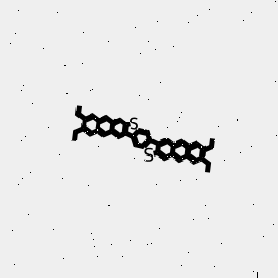 CCc1cc2cc3cc4sc5cc6c(cc5c4cc3cc2cc1CC)sc1cc2cc3cc(CC)c(CC)cc3cc2cc16